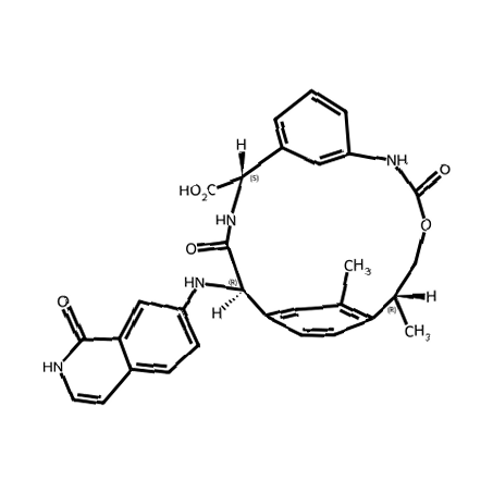 Cc1cc2ccc1[C@@H](C)COC(=O)Nc1cccc(c1)[C@@H](C(=O)O)NC(=O)[C@@H]2Nc1ccc2cc[nH]c(=O)c2c1